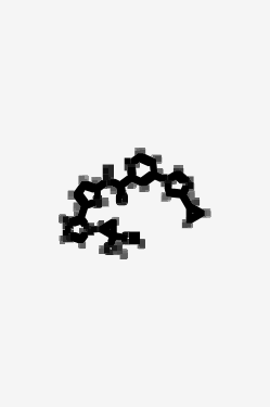 CC1(C)C[C@@H]1n1cnnc1-c1ccc(NC(=O)c2cc(-n3cnc(C4CC4)c3)ccn2)s1